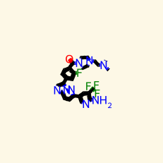 CN(C)CCN1CCN(C(=O)c2ccc(-c3cnc4ccc(-c5cnc(N)c(C(F)(F)F)c5)nn34)cc2F)CC1